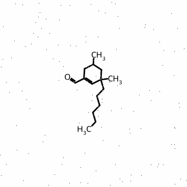 CCCCCCC1(C)C=C(C=O)CC(C)C1